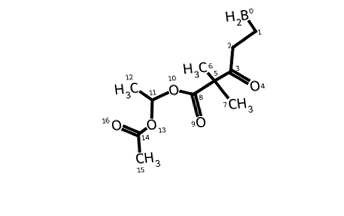 BCCC(=O)C(C)(C)C(=O)OC(C)OC(C)=O